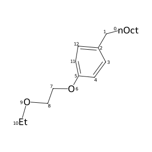 CCCCCCCCCc1ccc(OCCOCC)cc1